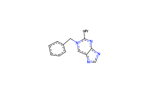 CCCc1nc2ncnc-2[c]n1Cc1ccccc1